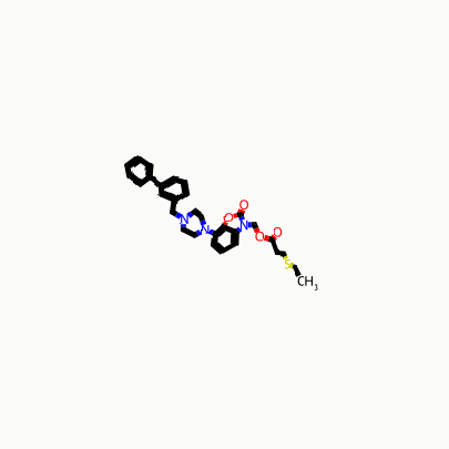 CCSCCC(=O)OCn1c(=O)oc2c(N3CCN(Cc4cccc(-c5ccccc5)c4)CC3)cccc21